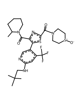 CC1CCCCN1C(=O)c1nc(C(=O)N2CC[S+]([O-])CC2)sc1-c1cnc(NCC(C)(C)C)cc1C(F)(F)F